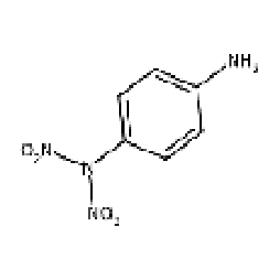 Nc1ccc(N([N+](=O)[O-])[N+](=O)[O-])cc1